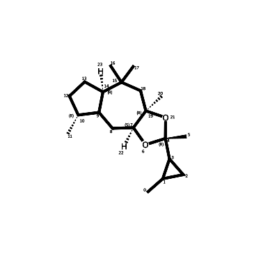 CC1CC1[C@]1(C)O[C@H]2CC3[C@H](C)CC[C@H]3C(C)(C)C[C@@]2(C)O1